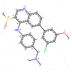 COc1cc(Cl)cc(-c2ccc3ncc([S+](C)[O-])c(Nc4ccc(CN(C)C)cc4)c3c2)c1